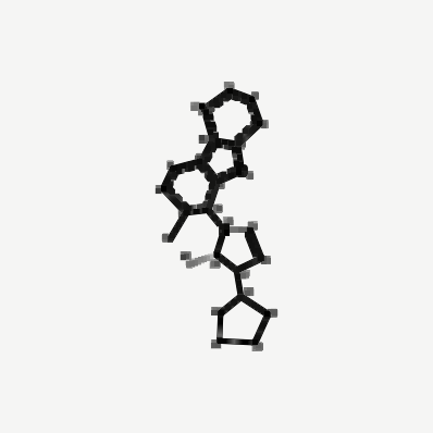 Cc1ccc2c(oc3cccnc32)c1N1C=CC(C2CCCC2)[C@@H]1C